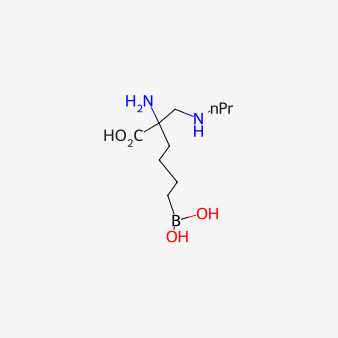 CCCNCC(N)(CCCCB(O)O)C(=O)O